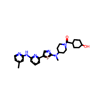 Cc1ccnc(Nc2cccc(-c3cnc(N(C)C4CCN(C(=O)C5CCC(O)CC5)CC4)s3)n2)c1